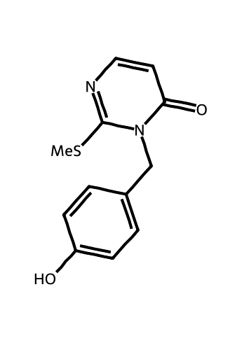 CSc1nccc(=O)n1Cc1ccc(O)cc1